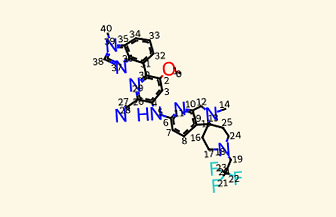 COc1cc(Nc2ccc3c(n2)CN(C)C32CCN(CC(F)(F)F)CC2)c(C#N)nc1-c1cccc2c1ncn2C